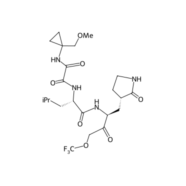 COCC1(NC(=O)C(=O)N[C@@H](CC(C)C)C(=O)N[C@@H](C[C@@H]2CCNC2=O)C(=O)COC(F)(F)F)CC1